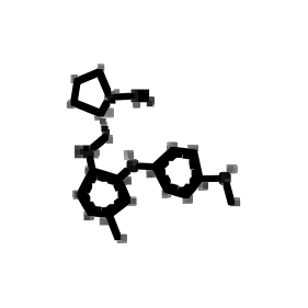 BN1CCC[C@H]1CNc1ccc(C)cc1Oc1ccc(OC)cc1